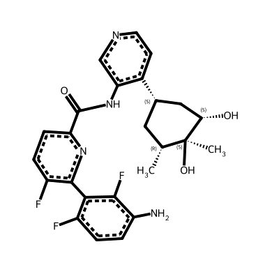 C[C@@H]1C[C@H](c2ccncc2NC(=O)c2ccc(F)c(-c3c(F)ccc(N)c3F)n2)C[C@H](O)[C@@]1(C)O